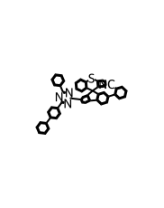 N#Cc1ccccc1-c1ccc2c(c1)C1(c3ccccc3Sc3ccccc31)c1cc(-c3nc(-c4ccccc4)nc(-c4ccc(-c5ccccc5)cc4)n3)ccc1-2